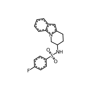 O=S(=O)(NC1CCc2cc3ccccc3n2C1)c1ccc(F)cc1